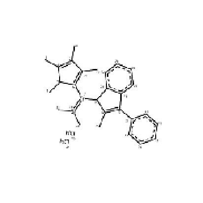 CC1=C(C)C(C)[C]([Zr]([CH]2C(C)=C(c3ccccc3)c3ccccc32)=[Si](C)C)=C1C.Cl.Cl